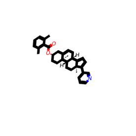 Cc1cccc(C)c1C(=O)O[C@H]1CC[C@@]2(C)C(=CC[C@H]3C4=CC=C(c5cccnc5)[C@@]4(C)CC[C@@H]32)C1